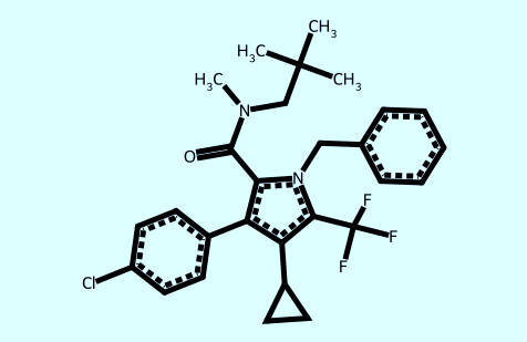 CN(CC(C)(C)C)C(=O)c1c(-c2ccc(Cl)cc2)c(C2CC2)c(C(F)(F)F)n1Cc1ccccc1